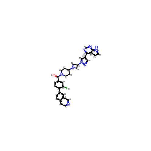 O=C(c1ccc(-c2ccc3ccncc3c2)c(F)c1)N1CCC(N2CC(n3cc(-c4ncnc5[nH]ccc45)cn3)C2)CC1